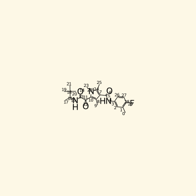 Cc1cc(NC(=O)c2c(C)c(C(=O)C(=O)NC(C)C(C)(C)C)n(C)c2C)ccc1F